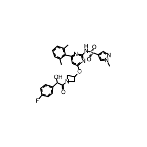 Cc1cccc(C)c1-c1cc(OC2CN(C(=O)C(O)c3ccc(F)cc3)C2)nc(NS(=O)(=O)c2cnn(C)c2)n1